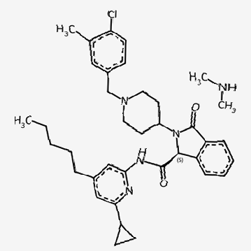 CCCCCc1cc(NC(=O)[C@@H]2c3ccccc3C(=O)N2C2CCN(Cc3ccc(Cl)c(C)c3)CC2)nc(C2CC2)c1.CNC